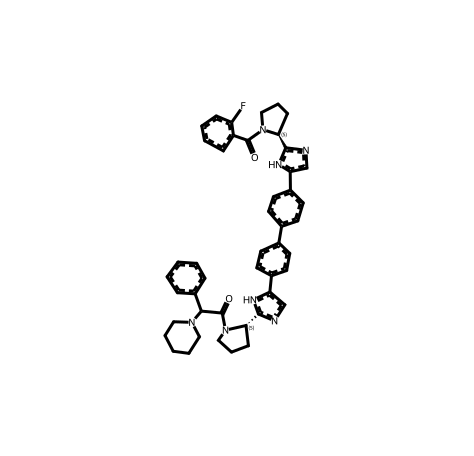 O=C(c1ccccc1F)N1CCC[C@H]1c1ncc(-c2ccc(-c3ccc(-c4cnc([C@@H]5CCCN5C(=O)C(c5ccccc5)N5CCCCC5)[nH]4)cc3)cc2)[nH]1